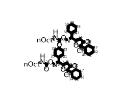 CCCCCCCCNC(=O)ON=C(C1=CC(=O)C(C)(C2CCCCC2)O1)c1ccccc1.CCCCCCCCNC(=O)ON=C(C1=CC(=O)C(C)(c2ccccc2)O1)c1ccccc1